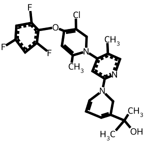 CC1=CC(Oc2c(F)cc(F)cc2F)=C(Cl)CN1c1cc(N2C=CC=C(C(C)(C)O)C2)ncc1C